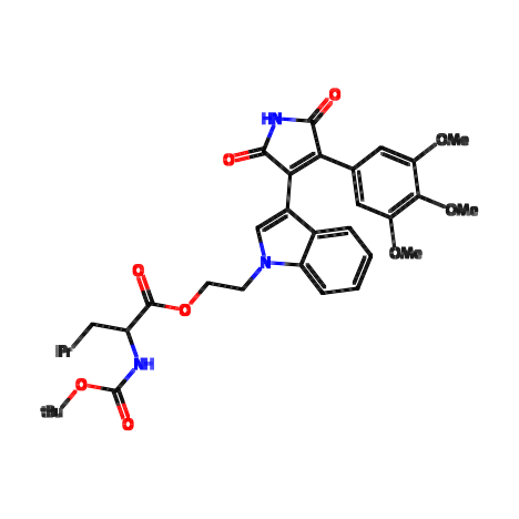 COc1cc(C2=C(c3cn(CCOC(=O)C(CC(C)C)NC(=O)OC(C)(C)C)c4ccccc34)C(=O)NC2=O)cc(OC)c1OC